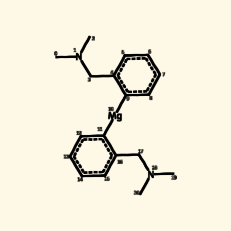 CN(C)Cc1cccc[c]1[Mg][c]1ccccc1CN(C)C